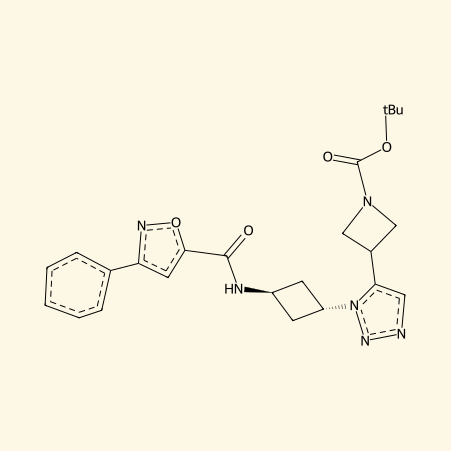 CC(C)(C)OC(=O)N1CC(c2cnnn2[C@H]2C[C@H](NC(=O)c3cc(-c4ccccc4)no3)C2)C1